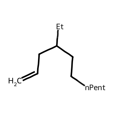 C=CCC(CC)CCCCCCC